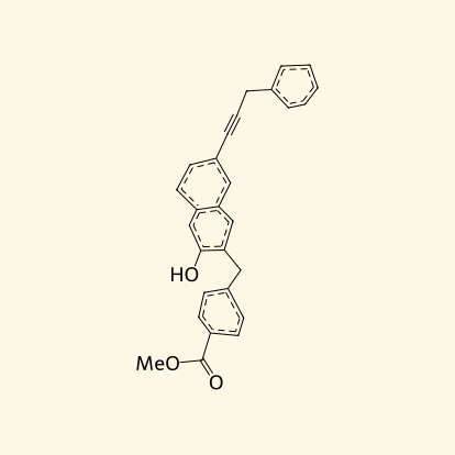 COC(=O)c1ccc(Cc2cc3cc(C#CCc4ccccc4)ccc3cc2O)cc1